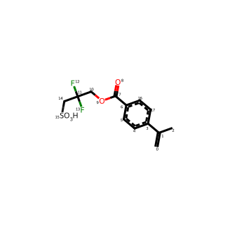 C=C(C)c1ccc(C(=O)OCC(F)(F)CS(=O)(=O)O)cc1